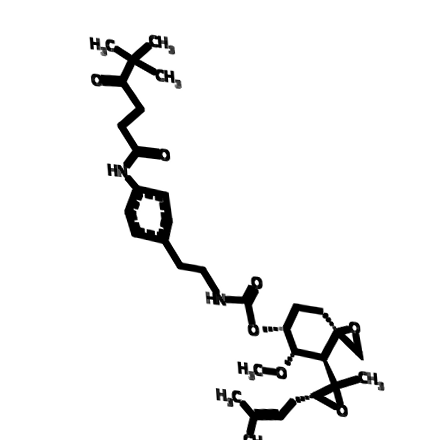 CO[C@H]1[C@H](C2(C)O[C@@H]2CC=C(C)C)[C@]2(CC[C@H]1OC(=O)NCCc1ccc(NC(=O)CCC(=O)C(C)(C)C)cc1)CO2